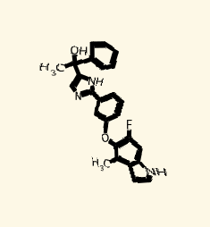 Cc1c(Oc2cccc(-c3ncc(C(C)(O)c4ccccc4)[nH]3)c2)c(F)cc2[nH]ccc12